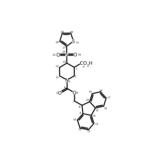 O=C(O)C1CN(C(=O)OCC2c3ccccc3-c3ccccc32)CCC1S(=O)(=O)c1cccs1